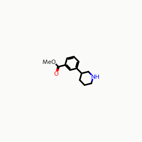 COC(=O)c1cccc(C2CCCNC2)c1